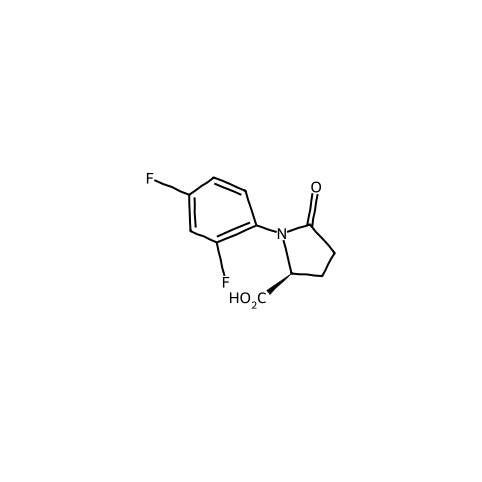 O=C(O)[C@@H]1CCC(=O)N1c1ccc(F)cc1F